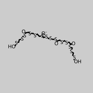 O=C(CSCSCC[S+]([O-])CSCSCSC(=O)CSCSCC(=O)SCSCCSCO)SCSCCSCO